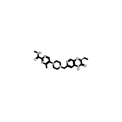 CC[C@@H]1Oc2cnc(CN3CCN(c4cnc(C(=O)NC)nc4C)CC3)cc2NC1=O